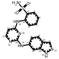 NS(=O)(=O)c1ccccc1Nc1ccnc(Nc2ccc3cn[nH]c3c2)n1